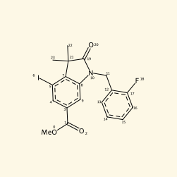 COC(=O)c1cc(I)c2c(c1)N(Cc1ccccc1F)C(=O)C2(C)C